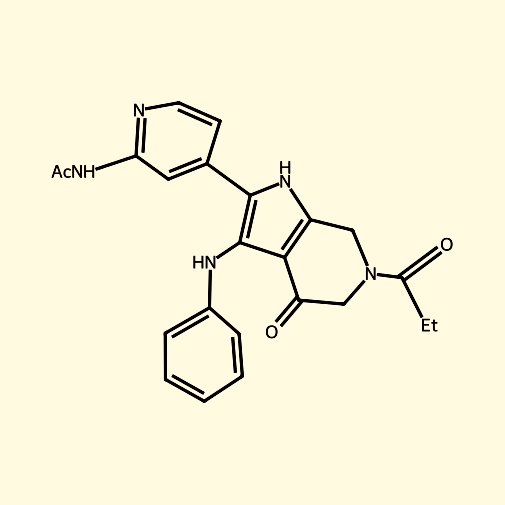 CCC(=O)N1CC(=O)c2c([nH]c(-c3ccnc(NC(C)=O)c3)c2Nc2ccccc2)C1